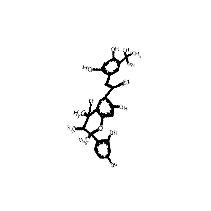 CCCC(C)(C)c1cc(CC(CC)c2cc3c(cc2O)OC(C)(c2ccc(O)cc2O)C(C)C3(C)CC)c(O)cc1O